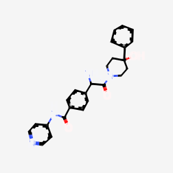 NC(C(=O)N1CCC(O)(c2ccccc2)CC1)c1ccc(C(=O)Nc2ccncc2)cc1